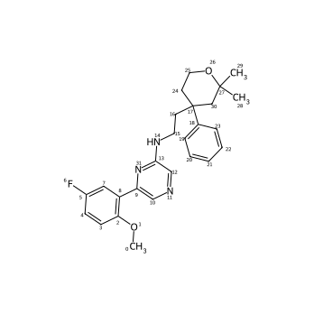 COc1ccc(F)cc1-c1cncc(NCCC2(c3ccccc3)CCOC(C)(C)C2)n1